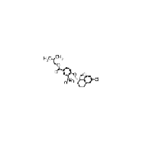 CC(C)COC(=O)c1ccc(OC[C@@]2(C=O)CCCc3cc(Cl)ccc32)c([N+](=O)[O-])c1